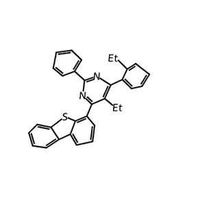 CCc1ccccc1-c1nc(-c2ccccc2)nc(-c2cccc3c2sc2ccccc23)c1CC